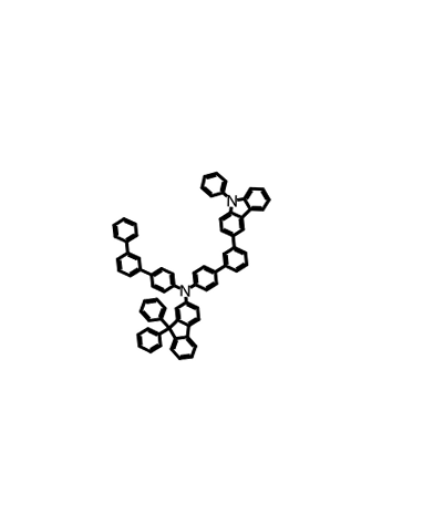 c1ccc(-c2cccc(-c3ccc(N(c4ccc(-c5cccc(-c6ccc7c(c6)c6ccccc6n7-c6ccccc6)c5)cc4)c4ccc5c(c4)C(c4ccccc4)(c4ccccc4)c4ccccc4-5)cc3)c2)cc1